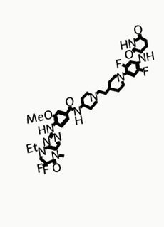 CCN1CC(F)(F)C(=O)N(C)c2cnc(Nc3ccc(C(=O)NC4CCN(CCC5CCN(c6cc(F)c(NC7CCC(=O)NC7=O)cc6F)CC5)CC4)cc3OC)nc21